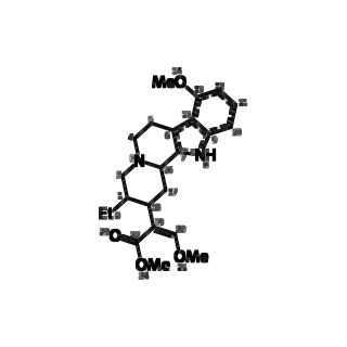 CCC1CN2CCc3c([nH]c4cccc(OC)c34)C2CC1C(=COC)C(=O)OC